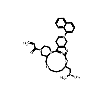 C=CC(=O)N1CCN2c3nc(nc4c3CCN(c3cccc5ccccc35)C4)OC(CN(C)C)CCCOCC2C1